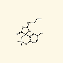 CCCNC1=NC(=O)C2(CC(C)(C)Oc3ccc(Br)cc32)N1